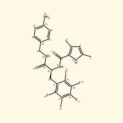 Cc1cc(C)c(C(=O)N[C@@H](Cc2c(F)c(F)c(F)c(F)c2F)C(=O)NCc2ccc(N)nc2)[nH]1